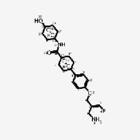 NCC(=CF)COc1ccc(C23CCC(C(=O)NC45CCC(O)(CC4)CC5)(CC2)CC3)cc1